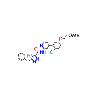 COCCOc1ccc(Cl)c(-c2ccnc(NC(=O)c3nnc(Cc4ccccc4)[nH]3)c2)c1